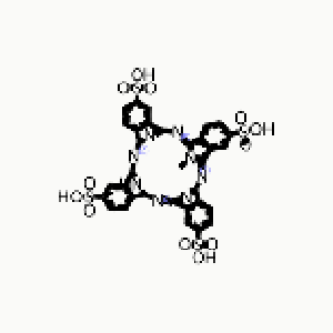 Cn1/c2c3cc(S(=O)(=O)O)ccc3/c1=N\C1=NC(=N\C3NC(/N=C4N=C(/N=2)c2ccc(S(=O)(=O)O)cc2\4)c2ccc(S(=O)(=O)O)cc23)/c2ccc(S(=O)(=O)O)cc21